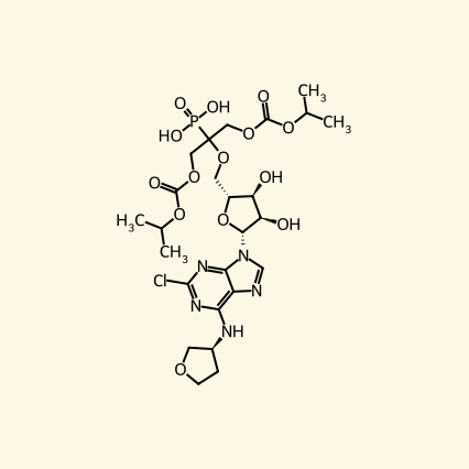 CC(C)OC(=O)OCC(COC(=O)OC(C)C)(OC[C@H]1O[C@@H](n2cnc3c(N[C@H]4CCOC4)nc(Cl)nc32)[C@H](O)[C@@H]1O)P(=O)(O)O